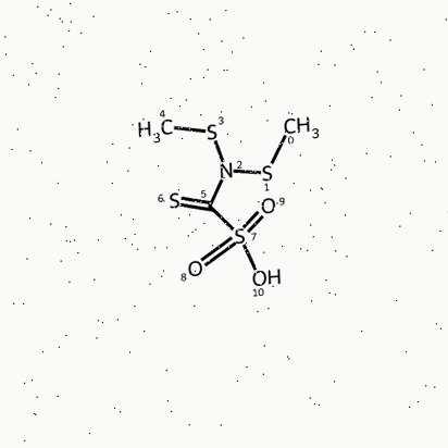 CSN(SC)C(=S)S(=O)(=O)O